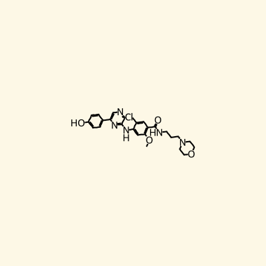 COc1cc(Nc2cncc(-c3ccc(O)cc3)n2)c(Cl)cc1C(=O)NCCCN1CCOCC1